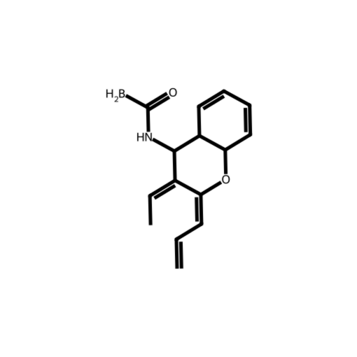 BC(=O)NC1C(=C/C)/C(=C\C=C)OC2C=CC=CC21